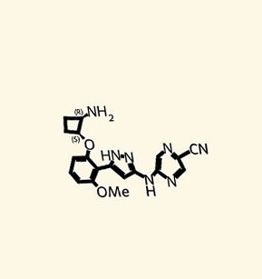 COc1cccc(O[C@H]2CC[C@H]2N)c1-c1cc(Nc2cnc(C#N)cn2)n[nH]1